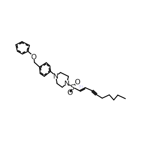 CCCCCC#C/C=C/S(=O)(=O)N1CCN(c2ccc(COc3ccccc3)cc2)CC1